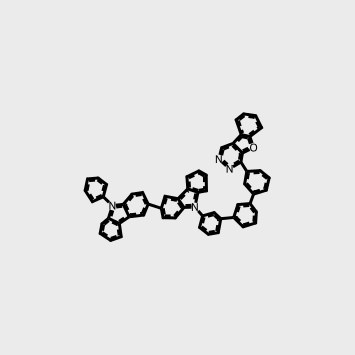 c1ccc(-n2c3ccccc3c3cc(-c4ccc5c(c4)c4ccccc4n5-c4cccc(-c5cccc(-c6cccc(-c7nncc8c7oc7ccccc78)c6)c5)c4)ccc32)cc1